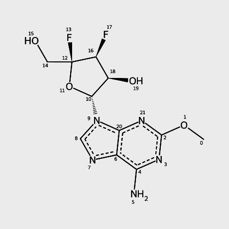 COc1nc(N)c2ncn([C@@H]3O[C@](F)(CO)[C@@H](F)[C@H]3O)c2n1